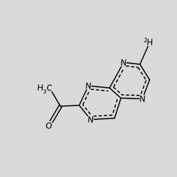 [2H]c1cnc2cnc(C(C)=O)nc2n1